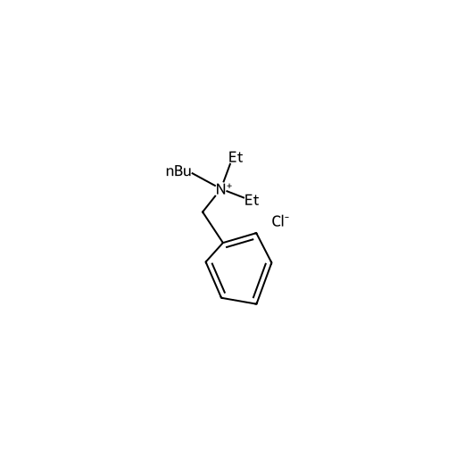 CCCC[N+](CC)(CC)Cc1ccccc1.[Cl-]